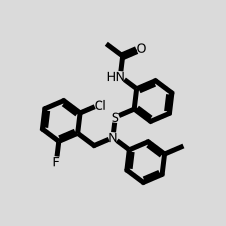 CC(=O)Nc1ccccc1SN(Cc1c(F)cccc1Cl)c1cccc(C)c1